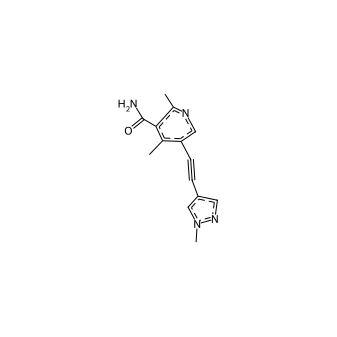 Cc1ncc(C#Cc2cnn(C)c2)c(C)c1C(N)=O